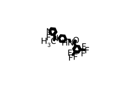 CN(c1cccnc1F)[C@H]1CC[C@H](CNC(=O)c2cc(C(F)(F)F)cc(C(F)(F)F)c2)CC1